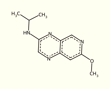 COc1cc2ncc(NC(C)C)nc2cn1